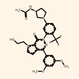 COc1cc(OC)cc(-c2nn(-c3cc(N4CC[C@H](NC(C)=O)C4)ccc3C(F)(F)F)c(=O)c3c2ccn3CCO)c1